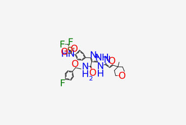 CC(Oc1cc(-c2n[nH]c(Nc3cc(C4(C)CCOCC4)on3)c2C(N)=O)ccc1NS(=O)(=O)C(F)F)c1ccc(F)cc1